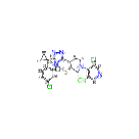 Cn1c(C2CCN(c3c(Cl)cncc3Cl)CC2)nnc1C1(c2ccc(Cl)cc2)CC1